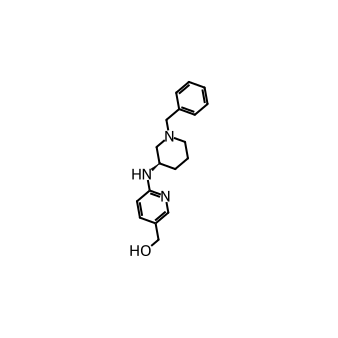 OCc1ccc(N[C@@H]2CCCN(Cc3ccccc3)C2)nc1